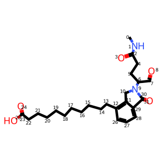 CNC(=O)CCC(C=O)N1Cc2c(CCCCCCCCCCC(=O)O)cccc2C1=O